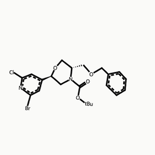 CC(C)(C)OC(=O)N1C[C@@H](c2cc(Cl)nc(Br)c2)OC[C@@H]1COCc1ccccc1